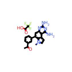 CC(=O)c1cccc(-c2cc3nc(N)nc(N)c3c3ccn(C)c23)c1.O=C(O)C(F)(F)F